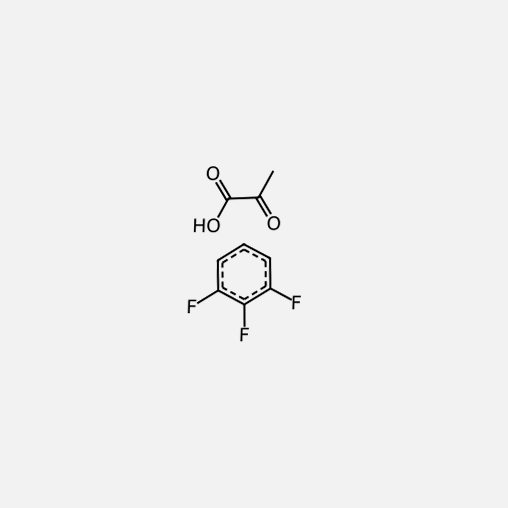 CC(=O)C(=O)O.Fc1cccc(F)c1F